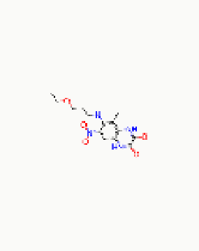 CCOCCCNc1c([N+](=O)[O-])cc2[nH]c(=O)c(=O)[nH]c2c1C